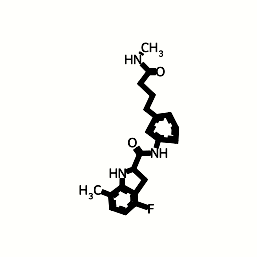 CNC(=O)CCCc1cccc(NC(=O)C2Cc3c(F)ccc(C)c3N2)c1